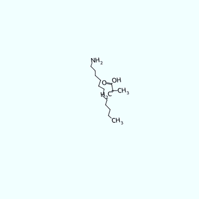 C=C(C)C(=O)O.CCCCCCCCCCCCN